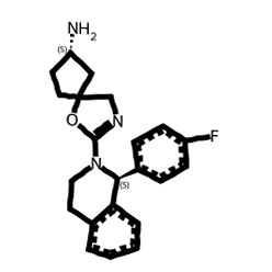 N[C@H]1CCC2(CN=C(N3CCc4ccccc4[C@@H]3c3ccc(F)cc3)O2)C1